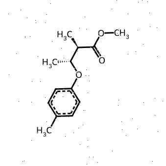 COC(=O)[C@H](C)[C@@H](C)Oc1ccc(C)cc1